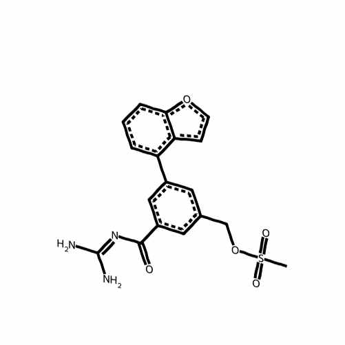 CS(=O)(=O)OCc1cc(C(=O)N=C(N)N)cc(-c2cccc3occc23)c1